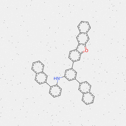 c1ccc(-c2ccc3ccccc3c2)c(Nc2cc(-c3ccc4ccccc4c3)cc(-c3ccc4c(c3)oc3cc5ccccc5cc34)c2)c1